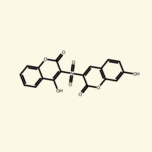 O=c1oc2cc(O)ccc2cc1S(=O)(=O)c1c(O)c2ccccc2oc1=O